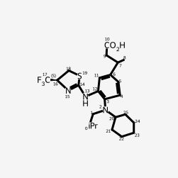 CC(C)CN(c1ccc(C(C)CC(=O)O)cc1NC1=N[C@@H](C(F)(F)F)CS1)C1CCCCC1